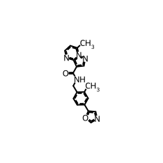 Cc1cc(-c2cnco2)ccc1CNC(=O)c1cnn2c(C)ccnc12